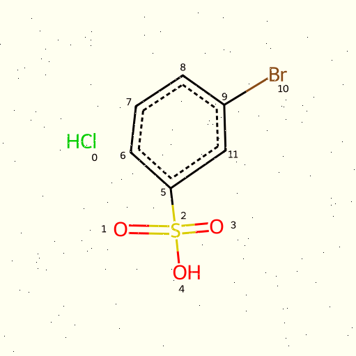 Cl.O=S(=O)(O)c1cccc(Br)c1